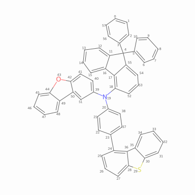 c1ccc(C2(c3ccccc3)c3ccccc3-c3c(N(c4ccc(-c5cccc6sc7ccccc7c56)cc4)c4ccc5oc6ccccc6c5c4)cccc32)cc1